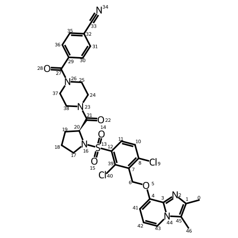 Cc1nc2c(OCc3c(Cl)ccc(S(=O)(=O)N4CCC[C@H]4C(=O)N4CCN(C(=O)c5ccc(C#N)cc5)CC4)c3Cl)cccn2c1C